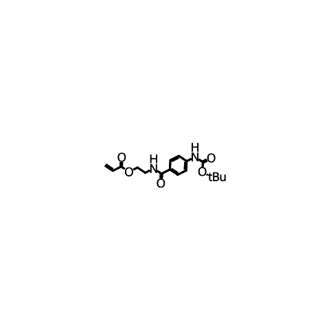 C=CC(=O)OCCNC(=O)c1ccc(NC(=O)OC(C)(C)C)cc1